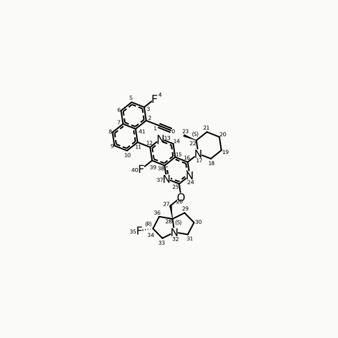 C#Cc1c(F)ccc2cccc(-c3ncc4c(N5CCCC[C@@H]5C)nc(OC[C@@]56CCCN5C[C@H](F)C6)nc4c3F)c12